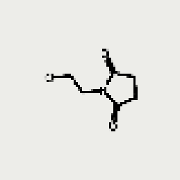 [O]CCN1C(=O)CCC1=O